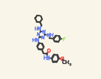 COc1ccc(NC(=O)Cc2ccc(Nc3nc(NCc4ccc(F)cc4)nc(NCC4CCCCC4)n3)cc2)cc1